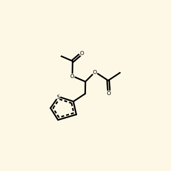 CC(=O)OC(Cc1cccs1)OC(C)=O